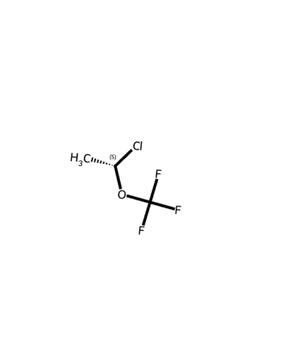 C[C@H](Cl)OC(F)(F)F